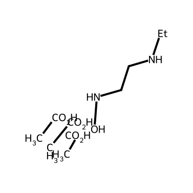 CC(=O)O.CC(=O)O.CC(=O)O.CCNCCNO